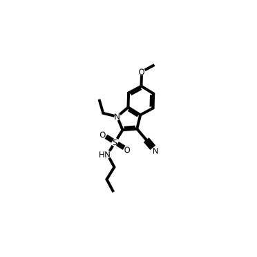 CCCNS(=O)(=O)c1c(C#N)c2ccc(OC)cc2n1CC